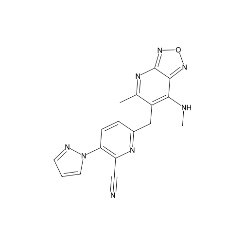 CNc1c(Cc2ccc(-n3cccn3)c(C#N)n2)c(C)nc2nonc12